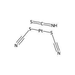 N#C[S][Pt][S]C#N.N=C=S